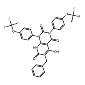 O=c1[nH]c2c(c(O)c1Cc1ccccc1)c(=O)n(-c1ccc(OC(F)(F)F)cc1)c(=O)n2-c1ccc(OC(F)(F)F)cc1